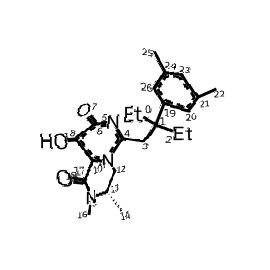 CCC(CC)(Cc1nc(=O)c(O)c2n1C[C@H](C)N(C)C2=O)c1cc(C)cc(C)c1